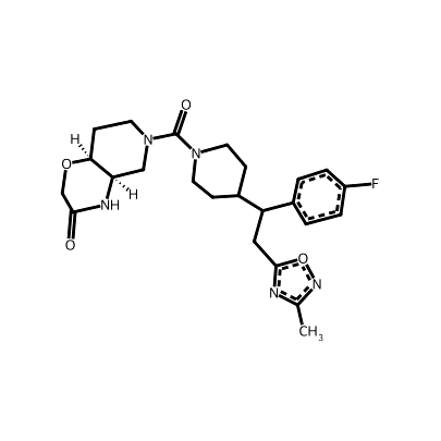 Cc1noc(CC(c2ccc(F)cc2)C2CCN(C(=O)N3CC[C@@H]4OCC(=O)N[C@@H]4C3)CC2)n1